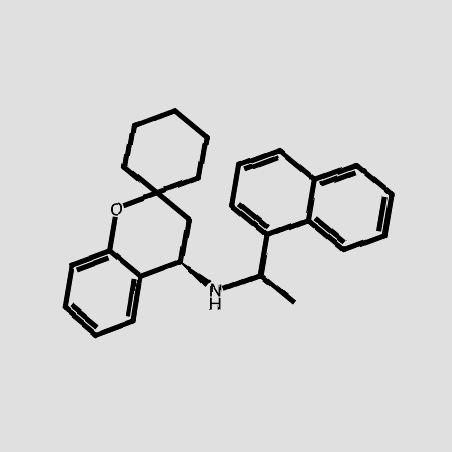 CC(N[C@@H]1CC2(CCCCC2)Oc2ccccc21)c1cccc2ccccc12